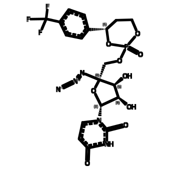 [N-]=[N+]=N[C@]1(COP2(=O)OCC[C@@H](c3ccc(C(F)(F)F)cc3)O2)O[C@@H](n2ccc(=O)[nH]c2=O)[C@H](O)[C@@H]1O